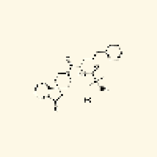 CC(C)(N)C(=O)NC(CCCc1ccccc1)C(=O)N1CCC2(CC1)CC(=O)c1ccccc12.Cl